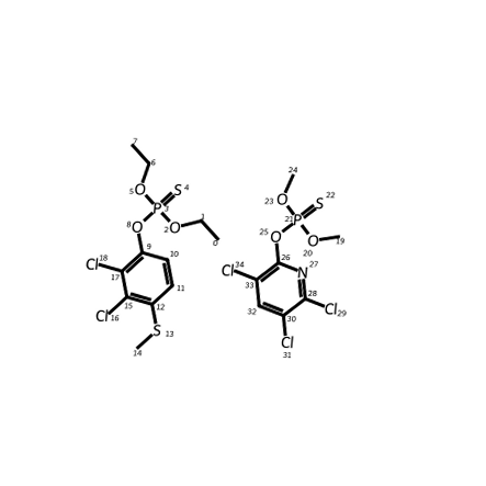 CCOP(=S)(OCC)Oc1ccc(SC)c(Cl)c1Cl.COP(=S)(OC)Oc1nc(Cl)c(Cl)cc1Cl